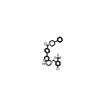 O=C(c1ccc(-c2cnc3c(c2)N(Cc2cc(Cl)ccc2C(F)(F)F)CCN3)cc1)N1CCC(c2ccccc2)CC1